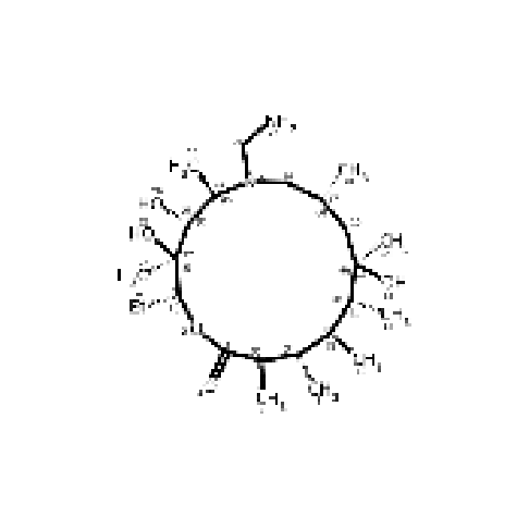 CC[C@H]1OC(=O)[C@H](C)[C@@H](C)[C@H](C)[C@@H](C)[C@](C)(O)C[C@@H](C)CN(CN)[C@H](C)[C@@H](O)[C@]1(C)O